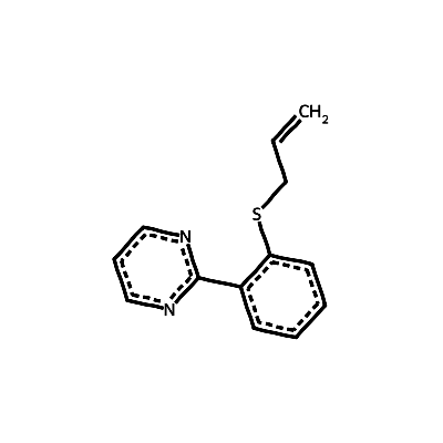 C=CCSc1ccccc1-c1ncccn1